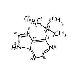 C[N+](C)(C)c1ncnc2[nH]cnc12.[Cl-]